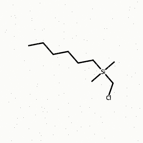 CCCCCC[Si](C)(C)CCl